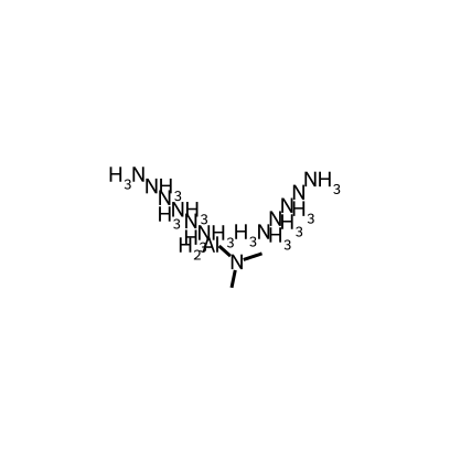 C[N](C)[AlH2].N.N.N.N.N.N.N.N.N.N.N